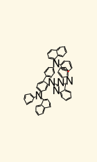 c1ccc(N(c2ccc3c4ccc(N(c5ccccc5)c5cccc6ccccc56)cc4n(-c4nc5ccccc5c5nc6ccccc6n45)c3c2)c2cccc3ccccc23)cc1